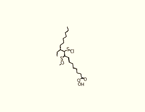 CCCCCCCC(CC)C(SCl)C(CCCCCCCC(=O)OO)SOC